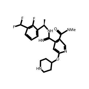 CNC(=O)c1cnc(OC2CCNCC2)cc1C(=N)N[C@H](C)c1cccc(C(F)F)c1F